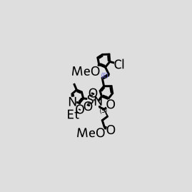 CCOc1ncc(C)cc1S(=O)(=O)N1C[C@H](CCC(=O)OC)Oc2ccc(/C=C/c3c(Cl)cccc3OC)cc21